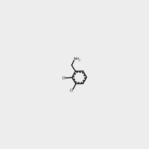 NCc1[c]ccc(Cl)c1Cl